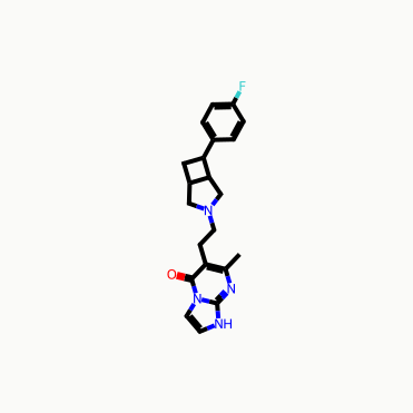 Cc1nc2[nH]ccn2c(=O)c1CCN1CC2CC(c3ccc(F)cc3)C2C1